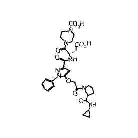 O=C(O)C[C@H](NC(=O)c1cc(OCC(=O)N2CCC[C@H]2C(=O)NC2CC2)n(-c2ccccc2)n1)C(=O)N1CCN(C(=O)O)CC1